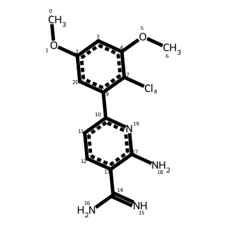 COc1cc(OC)c(Cl)c(-c2ccc(C(=N)N)c(N)n2)c1